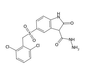 NNC(=O)C1C(=O)Nc2ccc(S(=O)(=O)Cc3c(Cl)cccc3Cl)cc21